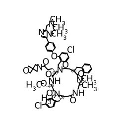 COC[C@@H]1NC(=O)[C@H](CCC(=O)N2CC3(COC3)C2)N(Cc2ccc(Cl)cc2Oc2ccc(-c3cnc(CN(C)C)n3C)cc2)C(=O)C[C@@H](Cc2ccccc2)C(=O)N(C)[C@@H](C)CNC(=O)C[C@H](Cc2ccc(Cl)cc2)N(C)C1=O